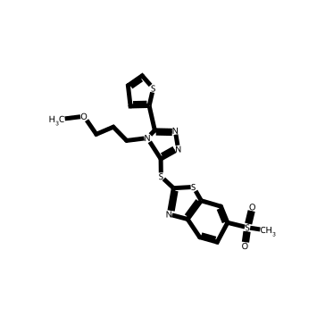 COCCCn1c(Sc2nc3ccc(S(C)(=O)=O)cc3s2)nnc1-c1cccs1